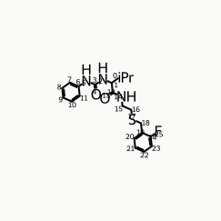 CC(C)C(NC(=O)Nc1ccccc1)C(=O)NCCSCc1ccccc1F